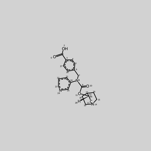 O=C(O)c1ccc(CN(C(=O)O[C@H]2CN3CCC2CC3)c2cccnc2)cc1